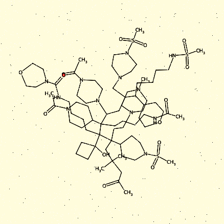 CC(=O)CC(C)(C)CC(CCN1CCN(C)CC1)(C1CCN(S(C)(=O)=O)CC1)C(CCCCNC(=O)N1CCOCC1)(C1(O)CCC1)C(CCCCNC(C)=O)(C1CCN(C(C)=O)CC1)C(CC(CN1CCN(S(C)(=O)=O)CC1)[C](CCCCNS(C)(=O)=O)C1CCOCC1)N1CCN(C(C)=O)CC1